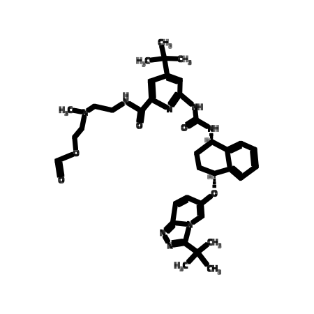 CN(CCNC(=O)c1cc(C(C)(C)C)cc(NC(=O)N[C@H]2CC[C@@H](Oc3ccc4nnc(C(C)(C)C)n4c3)c3ccccc32)n1)CCOC=O